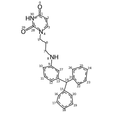 O=c1ccn(CCCNc2cccc(C(c3ccccc3)c3ccccc3)c2)c(=O)[nH]1